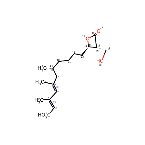 CC(=C\C(=O)O)/C=C(\C)C[C@H](C)CCCC[C@H]1OC(=O)[C@@H]1CO